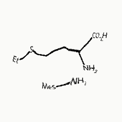 CCSCCC(N)C(=O)O.CSN